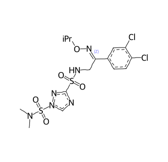 CC(C)O/N=C(\CNS(=O)(=O)c1ncn(S(=O)(=O)N(C)C)n1)c1ccc(Cl)c(Cl)c1